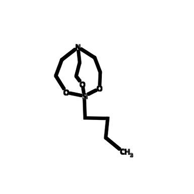 CCCC[Si]12OCCN(CCO1)CCO2